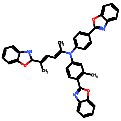 C/C(=C\C=C(/C)N(c1ccc(-c2nc3ccccc3o2)cc1)c1ccc(-c2nc3ccccc3o2)c(C)c1)C1Nc2ccccc2O1